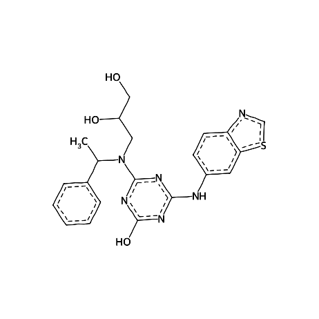 CC(c1ccccc1)N(CC(O)CO)c1nc(O)nc(Nc2ccc3ncsc3c2)n1